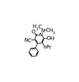 CCCc1c(-c2ccccc2)c(C#N)c(=O)n(N(C)C)c1O